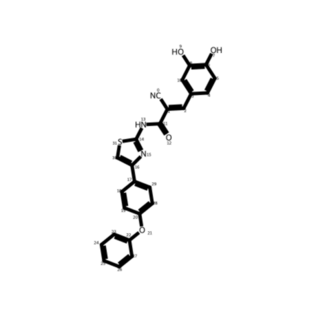 N#C/C(=C\c1ccc(O)c(O)c1)C(=O)Nc1nc(-c2ccc(Oc3ccccc3)cc2)cs1